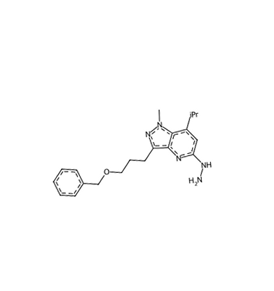 CC(C)c1cc(NN)nc2c(CCCOCc3ccccc3)nn(C)c12